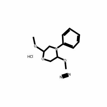 COC1CN(c2ccccc2)C(OC)CO1.Cl.N#N